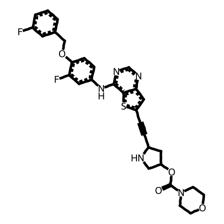 O=C(OC1CNC(C#Cc2cc3ncnc(Nc4ccc(OCc5cccc(F)c5)c(F)c4)c3s2)C1)N1CCOCC1